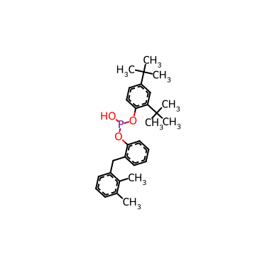 Cc1cccc(Cc2ccccc2OP(O)Oc2ccc(C(C)(C)C)cc2C(C)(C)C)c1C